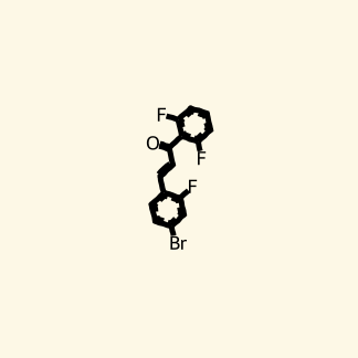 O=C(C=Cc1ccc(Br)cc1F)c1c(F)cccc1F